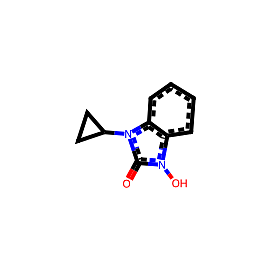 O=c1n(O)c2ccccc2n1C1CC1